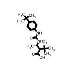 C[C@H](NC(=O)Nc1ccc(C(C)(C)C)cc1)C(C(=O)O)C(C)(C)C